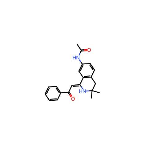 CC(=O)Nc1ccc2c(c1)C(=CC(=O)c1ccccc1)NC(C)(C)C2